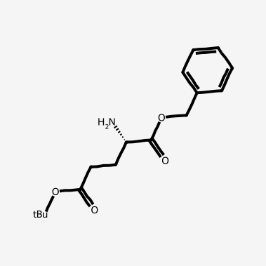 CC(C)(C)OC(=O)CC[C@H](N)C(=O)OCc1ccccc1